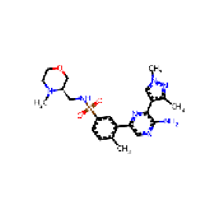 Cc1ccc(S(=O)(=O)NC[C@@H]2COCCN2C)cc1-c1cnc(N)c(-c2cn(C)nc2C)n1